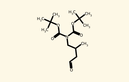 CC(CC=O)CN(C(=O)OC(C)(C)C)C(=O)OC(C)(C)C